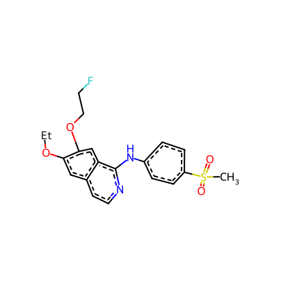 CCOc1cc2ccnc(Nc3ccc(S(C)(=O)=O)cc3)c2cc1OCCF